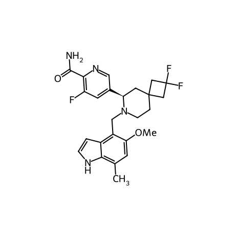 COc1cc(C)c2[nH]ccc2c1CN1CCC2(C[C@@H]1c1cnc(C(N)=O)c(F)c1)CC(F)(F)C2